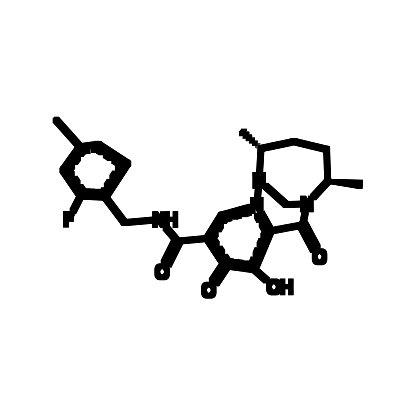 Cc1ccc(CNC(=O)c2cn3c(c(O)c2=O)C(=O)N2CN3[C@H](C)CC[C@H]2C)c(F)c1